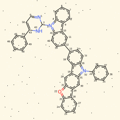 C1=NC(n2c3ccccc3c3cc(-c4ccc5c(c4)c4cc6oc7ccccc7c6cc4n5-c4ccccc4)ccc32)NC(c2ccccc2)=C1